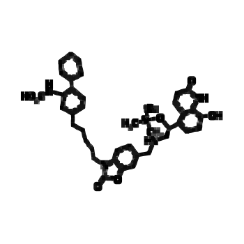 CC(C)(C)[Si](C)(C)O[C@H](CNCc1ccc2c(c1)oc(=O)n2CCCCCc1ccc(-c2ccccc2)c(NC(=O)O)c1)c1ccc(O)c2[nH]c(=O)ccc12